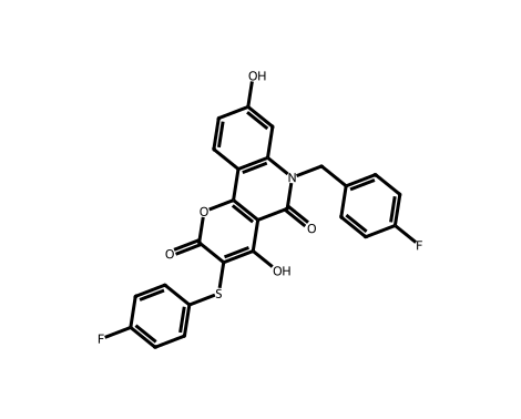 O=c1oc2c(c(O)c1Sc1ccc(F)cc1)c(=O)n(Cc1ccc(F)cc1)c1cc(O)ccc21